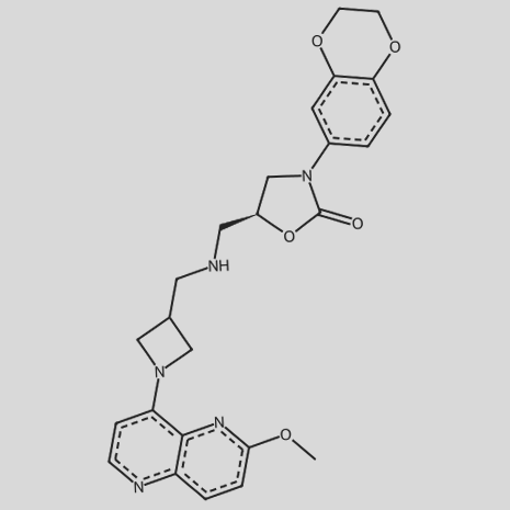 COc1ccc2nccc(N3CC(CNC[C@H]4CN(c5ccc6c(c5)OCCO6)C(=O)O4)C3)c2n1